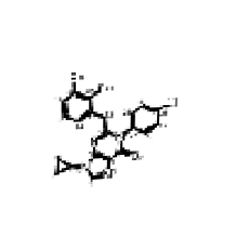 O=c1c2ncn(C3CC3)c2nc(Cc2cccc(F)c2F)n1-c1ccc(Cl)cc1